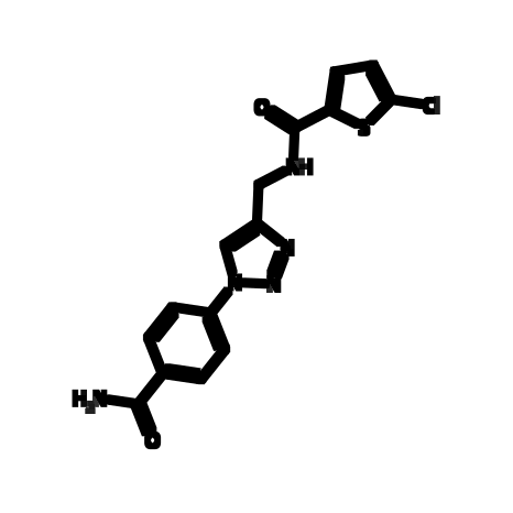 NC(=O)c1ccc(-n2cc(CNC(=O)c3ccc(Cl)s3)nn2)cc1